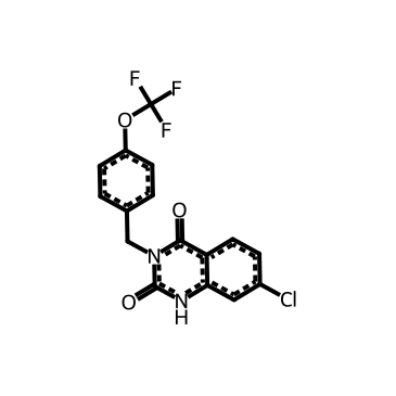 O=c1[nH]c2cc(Cl)ccc2c(=O)n1Cc1ccc(OC(F)(F)F)cc1